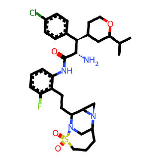 CC(C)C1CC([C@H](c2ccc(Cl)cc2)[C@H](N)C(=O)Nc2cccc(F)c2CCC2C3C[N@@]3C3CCCS(=O)(=O)N2C3)CCO1